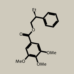 CC[C@H](COC(=O)c1cc(OC)c(OC)c(OC)c1)c1ccccc1